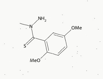 COc1ccc(OC)c(C(=S)N(C)N)c1